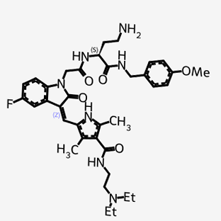 CCN(CC)CCNC(=O)c1c(C)[nH]c(/C=C2\C(=O)N(CC(=O)N[C@@H](CCN)C(=O)NCc3ccc(OC)cc3)c3ccc(F)cc32)c1C